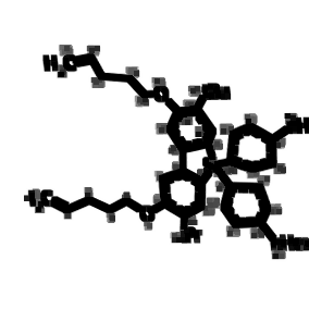 C=CCCCOc1cc2c(cc1C(C)C)[Si](c1ccc(CCCCCC)cc1)(c1ccc(CCCCCC)cc1)c1cc(C(C)(C)C)c(OCCCC=C)cc1-2